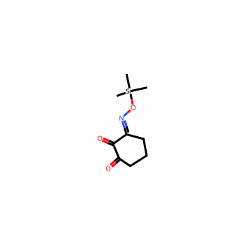 C[Si](C)(C)ON=C1CCCC(=O)C1=O